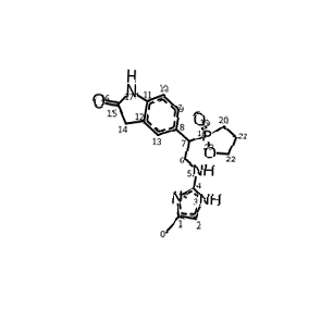 Cc1c[nH]c(NCC(c2ccc3c(c2)CC(=O)N3)P2(=O)CCCO2)n1